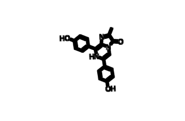 Cc1nc2c(-c3ccc(O)cc3)[nH]c(-c3ccc(O)cc3)cn-2c1=O